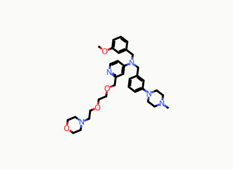 COc1cccc(CN(Cc2cccc(N3CCN(C)CC3)c2)c2ccnc(COCCOCCN3CCOCC3)c2)c1